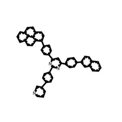 c1cncc(-c2ccc(-c3nc(-c4ccc(-c5ccc6ccccc6c5)cc4)cc(-c4ccc(-c5ccc6ccc7cccc8ccc5c6c78)cc4)n3)cc2)c1